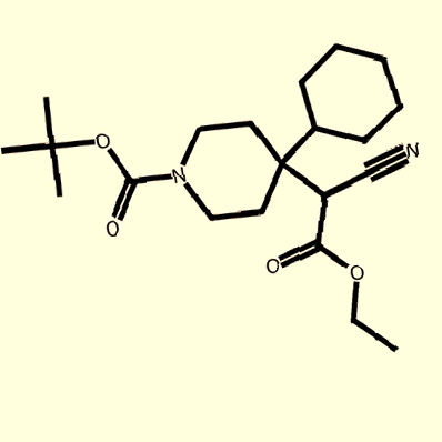 CCOC(=O)C(C#N)C1(C2CCCCC2)CCN(C(=O)OC(C)(C)C)CC1